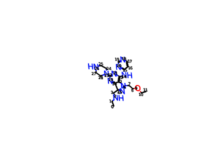 CCNCc1nn(CCOCC)c2c(Nc3ccncn3)nc(N3CCNCC3)nc12